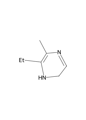 CCC1=C(C)N=CCN1